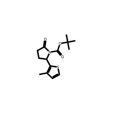 Cc1ccsc1C1CCC(=O)N1C(=O)OC(C)(C)C